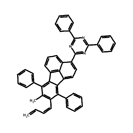 C=C/C=C\c1c(C)c(-c2ccccc2)c2c(c1-c1ccccc1)-c1ccc(-c3nc(-c4ccccc4)nc(-c4ccccc4)n3)c3cccc-2c13